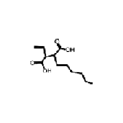 C=CC(C(=O)O)C(CCCCCC)C(=O)O